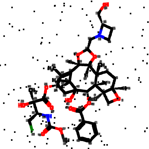 CC(=O)O[C@@]12CO[C@@H]1CC[C@@]1(C)[C@@H]3O[C@H](CN4CC[C@H]4CO)O[C@@H]3C3=C(C)[C@@H](OC(=O)[C@](C)(O)[C@H](CF)NC(=O)OC(C)(C)C)C[C@@](O)([C@@H](OC(=O)c4ccccc4)[C@@H]12)C3(C)C